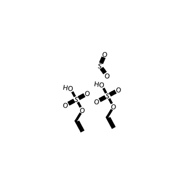 C=COS(=O)(=O)O.C=COS(=O)(=O)O.O=S=O